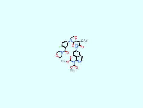 CC(=O)O[C@@H](C(=O)Nc1ccc2c(N(C(=O)OC(C)(C)C)C(=O)OC(C)(C)C)nccc2c1)[C@H]1OCCN(c2ccc(F)c(C(=O)N3CCOCC3)c2)C1=O